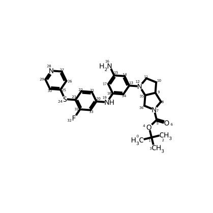 CC(C)(C)OC(=O)N1CC2CCN(c3cc(N)cc(Nc4ccc(Sc5ccncc5)c(F)c4)c3)C2C1